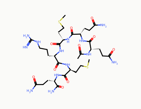 CSCC[C@H](NC(=O)[C@H](CCCNC(=N)N)NC(=O)[C@H](CCSC)NC(=O)[C@H](CCC(N)=O)NC(=O)[C@H](CCC(N)=O)NC(C)=O)C(=O)N[C@@H](CCC(N)=O)C(N)=O